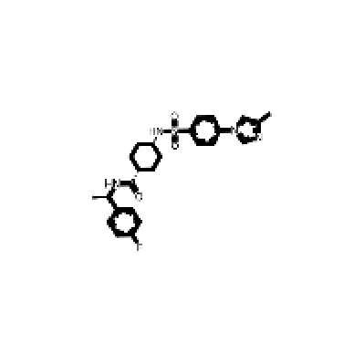 Cc1cn(-c2ccc(S(=O)(=O)N[C@H]3CC[C@@H](C(=O)N[C@H](C)c4ccc(F)cc4)CC3)cc2)cn1